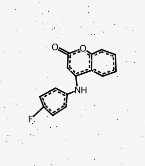 O=c1cc(Nc2ccc(F)cc2)c2ccccc2o1